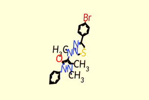 Cc1c(N(C)N2CSCC(c3ccc(Br)cc3)=N2)c(=O)n(-c2ccccc2)n1C